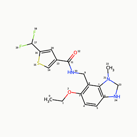 CCOc1ccc2c(c1CNC(=O)c1csc(C(F)F)c1)N(C)CN2